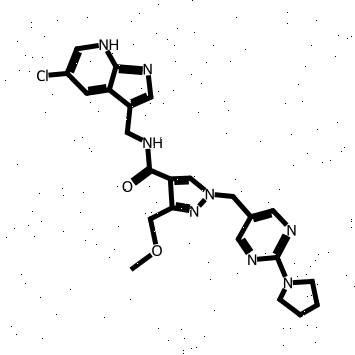 COCc1nn(Cc2cnc(N3CCCC3)nc2)cc1C(=O)NCc1cnc2[nH]cc(Cl)cc1-2